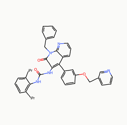 CC(C)c1cccc(C(C)C)c1NC(=O)Nc1c(-c2cccc(OCc3cccnc3)c2)c2cccnc2n(Cc2ccccc2)c1=O